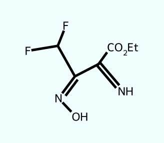 CCOC(=O)C(=N)/C(=N\O)C(F)F